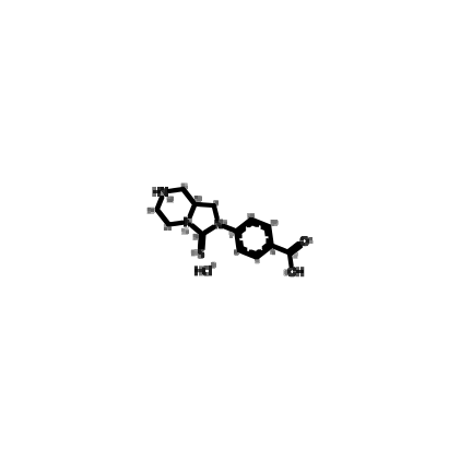 Cl.O=C(O)c1ccc(N2CC3CNCCN3C2=S)cc1